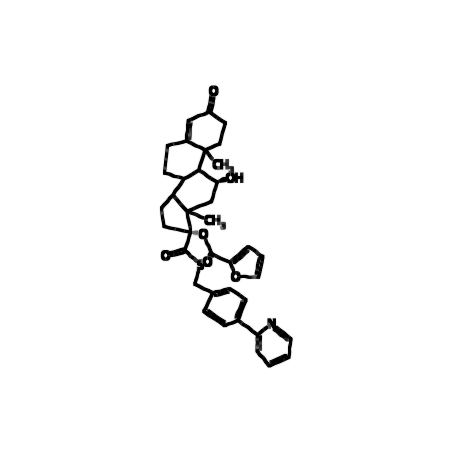 CC12CCC(=O)C=C1CCC1C2[C@@H](O)CC2(C)C1CC[C@]2(OC(=O)c1ccco1)C(=O)SCc1ccc(-c2ccccn2)cc1